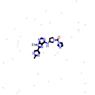 CCn1c(-c2cnc(C)nc2)nc2c(N[C@H]3CCN(C(=O)n4ccnc4)C3)ncnc21